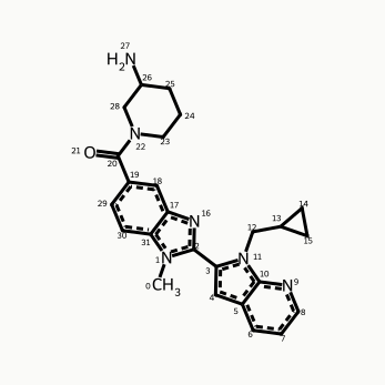 Cn1c(-c2cc3cccnc3n2CC2CC2)nc2cc(C(=O)N3CCCC(N)C3)ccc21